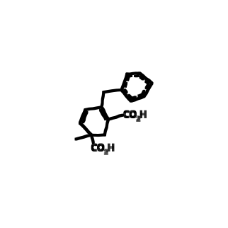 CC1(C(=O)O)C=CC(Cc2ccccc2)=C(C(=O)O)C1